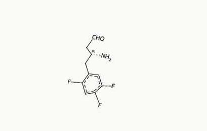 N[C@@H](CC=O)Cc1cc(F)c(F)cc1F